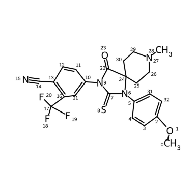 COc1ccc(N2C(=S)N(c3ccc(C#N)c(C(F)(F)F)c3)C(=O)C23CCN(C)CC3)cc1